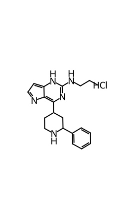 CCCNc1nc(C2CCNC(c3ccccc3)C2)c2nccc-2[nH]1.Cl